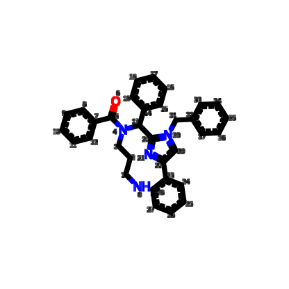 NCCCN(C(=O)c1ccccc1)C(c1ccccc1)c1nc(-c2ccccc2)cn1Cc1ccccc1